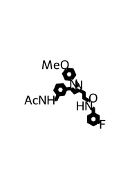 COc1ccc(-n2nc(CCC(=O)NCc3cccc(F)c3)cc2-c2cccc(CNC(C)=O)c2)cc1